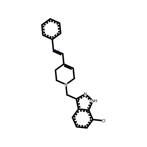 Clc1cccc2c(CN3CC=C(/C=C/c4ccccc4)CC3)n[nH]c12